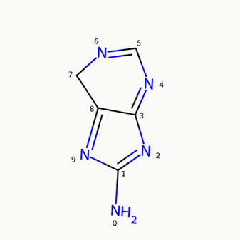 NC1=NC2=NC=NCC2=N1